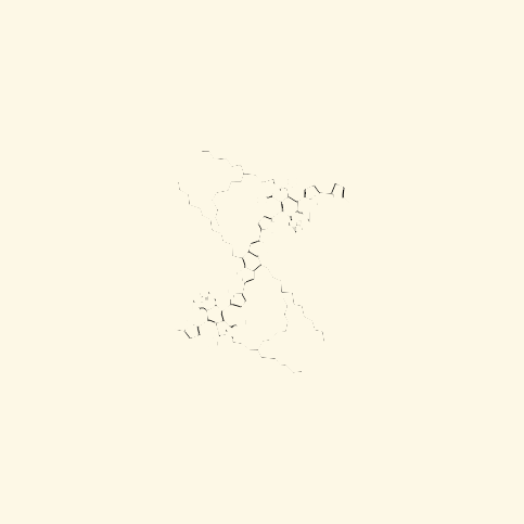 CCCCCCCCCCCCc1c2cc(-c3ccc(-c4c5c(c(-c6ccc(-c7ccc(C)s7)s6)c6nsnc46)C(=O)N(CCCC(CCCCCC)CCCCCCCC)C5=O)s3)sc2c(CCCCCCCCCCCC)c2cc(-c3ccc(-c4c5c(c(-c6ccc(C)s6)c6nsnc46)C(=O)N(CCCC(CCCCCC)CCCCCCCC)C5=O)s3)sc12